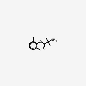 Cc1cccc(C)c1OC(=O)C(C)(C)N